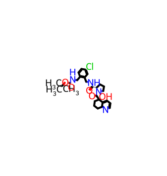 CC(C)(C)OC(=O)NCc1ccc(Cl)cc1CNC(=O)[C@@H]1CCCN1C(=O)C1(O)CCCc2ncccc21